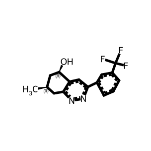 C[C@@H]1Cc2nnc(-c3cccc(C(F)(F)F)c3)cc2[C@H](O)C1